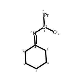 CC(C)[S+]([O-])N=C1CCCCC1